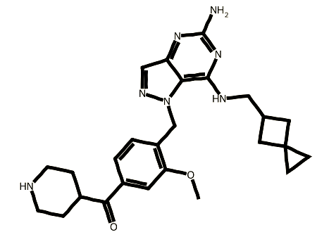 COc1cc(C(=O)C2CCNCC2)ccc1Cn1ncc2nc(N)nc(NCC3CC4(CC4)C3)c21